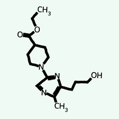 CCOC(=O)C1CCN(c2cnc(C)c(CCCO)n2)CC1